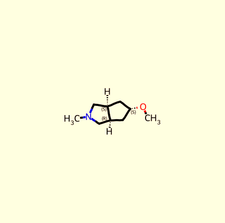 CO[C@H]1C[C@@H]2CN(C)C[C@@H]2C1